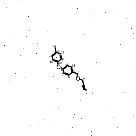 C#CCOCc1ccc(Oc2ccc(C)cc2)cc1